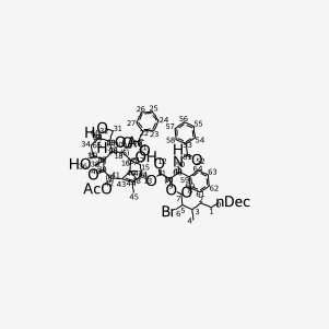 CCCCCCCCCCCCC(C)C(Br)C(=O)O[C@@H](C(=O)O[C@H]1C[C@@]2(O)[C@@H](OC(=O)c3ccccc3)[C@@H]3[C@]4(OC(C)=O)CO[C@@H]4C[C@H](O)[C@@]3(C)C(=O)[C@H](OC(C)=O)C(=C1C)C2(C)C)[C@@H](NC(=O)c1ccccc1)c1ccccc1